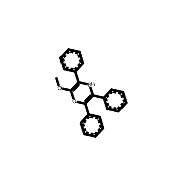 COC1=C(c2ccccc2)BC(c2ccccc2)=C(c2ccccc2)O1